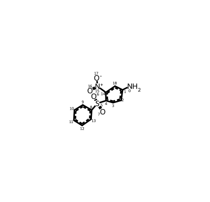 Nc1ccc(S(=O)(=O)c2ccccc2)c([N+](=O)[O-])c1